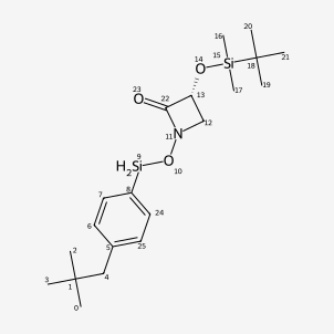 CC(C)(C)Cc1ccc([SiH2]ON2C[C@@H](O[Si](C)(C)C(C)(C)C)C2=O)cc1